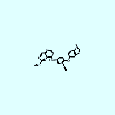 C#Cc1cc(Nc2ncnc3cnc(SC)nc23)ccc1Oc1ccc2c(c1)ncn2C